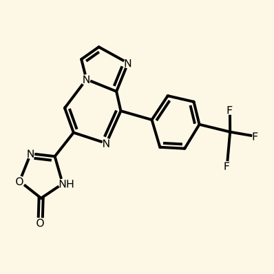 O=c1[nH]c(-c2cn3ccnc3c(-c3ccc(C(F)(F)F)cc3)n2)no1